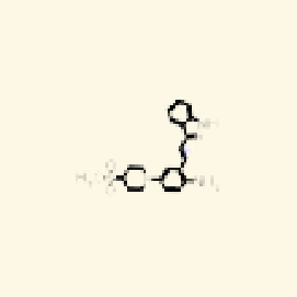 CS(=O)(=O)C1CCN(c2ccc(N)c(/C=C/c3n[nH]c4ccccc34)c2)CC1